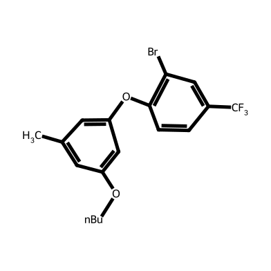 CCCCOc1cc(C)cc(Oc2ccc(C(F)(F)F)cc2Br)c1